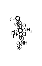 CCS(=O)(=O)N(Cc1cccc(Cl)c1)C(=O)c1cc(OC(F)(F)F)c(CN2CCC(NC(=O)OC(C)(C)C)C2)c(Cl)c1N